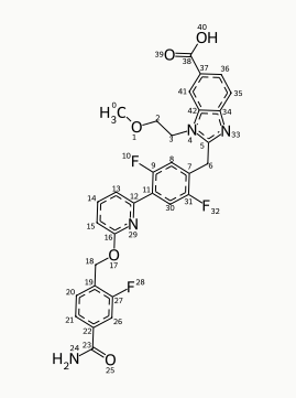 COCCn1c(Cc2cc(F)c(-c3cccc(OCc4ccc(C(N)=O)cc4F)n3)cc2F)nc2ccc(C(=O)O)cc21